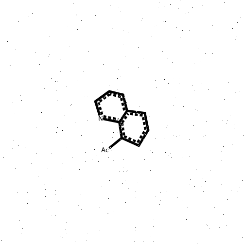 CC(=O)c1cccc2cccnc12